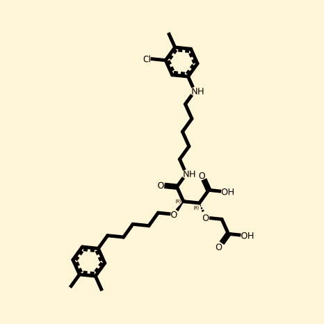 Cc1ccc(CCCCCO[C@@H](C(=O)NCCCCCNc2ccc(C)c(Cl)c2)[C@@H](OCC(=O)O)C(=O)O)cc1C